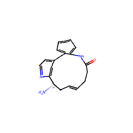 N[C@H]1C/C=C/CCC(=O)Nc2ccccc2-c2ccnc1c2